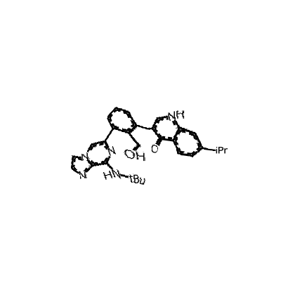 CC(C)c1ccc2c(=O)c(-c3cccc(-c4cn5ccnc5c(NC(C)(C)C)n4)c3CO)c[nH]c2c1